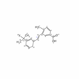 Cc1ccc(C(=O)O)cc1/C=C/C1C=C(C(C)(C)F)C=CC1